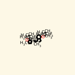 C[C@H](C[C@@H]1C=C[C@@](C)(O[Si](C)(C)C(C)(C)C)C1)[C@H]1CCC2C(O[Si](C)(C)C(C)(C)C)CCC[C@]21C